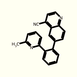 Cc1cccc(-c2ccccc2-c2ccc3nccc(C#N)c3c2)n1